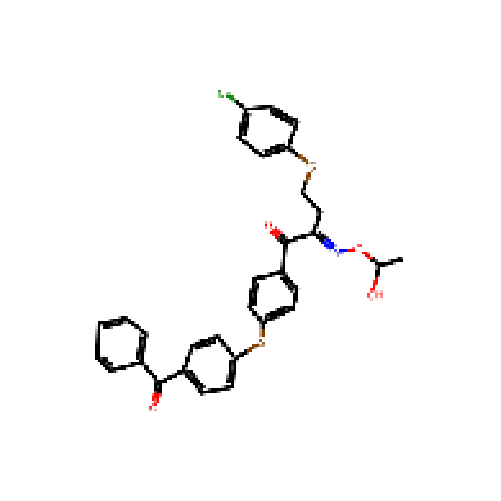 CC(O)O/N=C(\CCSc1ccc(Cl)cc1)C(=O)c1ccc(Sc2ccc(C(=O)c3ccccc3)cc2)cc1